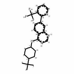 CC(C)(C)C1CCC(Oc2ncnc3cc(-c4ncccc4C(F)(F)F)ccc23)CC1